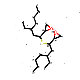 CCCCC(CC)CC(SC(CC(CC)CCCC)C1CO1)C1CO1